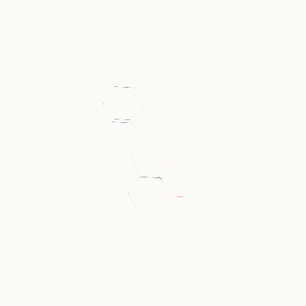 CC/C(=C/Sc1ccccc1)C(=O)OC